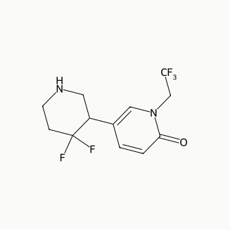 O=c1ccc(C2CNCCC2(F)F)cn1CC(F)(F)F